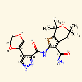 CC1(C)Cc2c(sc(NC(=O)c3n[nH]cc3C3=COCCO3)c2C(N)=O)C(C)(C)O1